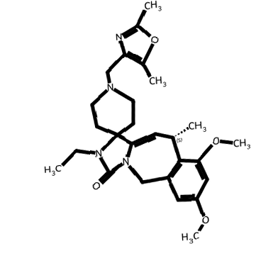 CCN1C(=O)N2Cc3cc(OC)cc(OC)c3[C@@H](C)C=C2C12CCN(Cc1nc(C)oc1C)CC2